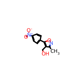 Cc1noc(-c2ccc([N+](=O)[O-])cc2)c1CO